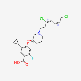 O=C(O)c1cc(C2CC2)c(O[C@@H]2CCCN(CC/C(Cl)=C\C=C/CCl)C2)cc1F